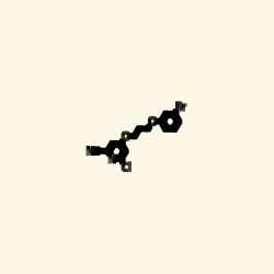 N#Cc1cc(OCCCOc2cccc(Br)c2)cc(Cl)n1